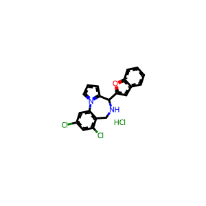 Cl.Clc1cc(Cl)c2c(c1)-n1cccc1C(c1cc3ccccc3o1)NC2